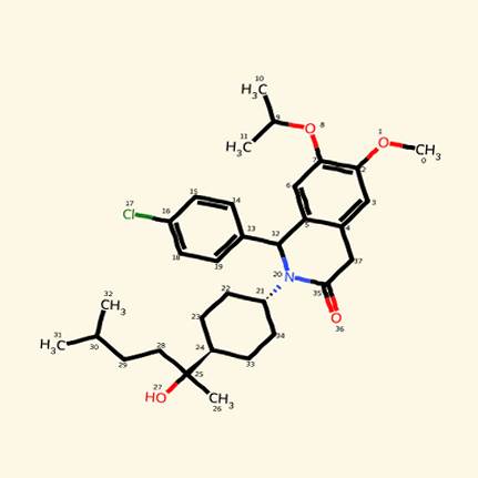 COc1cc2c(cc1OC(C)C)C(c1ccc(Cl)cc1)N([C@H]1CC[C@H](C(C)(O)CCC(C)C)CC1)C(=O)C2